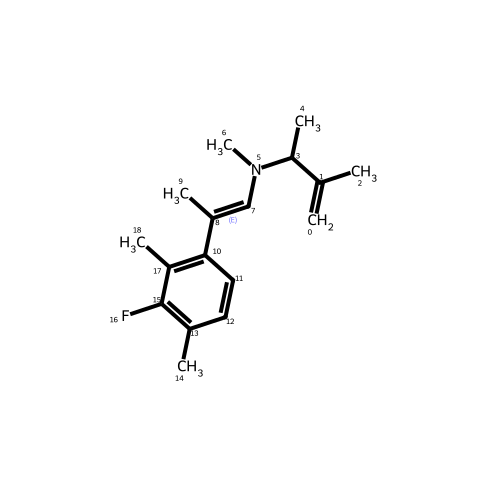 C=C(C)C(C)N(C)/C=C(\C)c1ccc(C)c(F)c1C